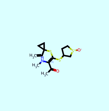 C=CC1(S/C(SC2CC[S+]([O-])C2)=C(\NC)C(C)=O)CC1